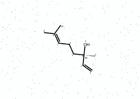 C=C[C@](C)(O)CCC=C(C)C